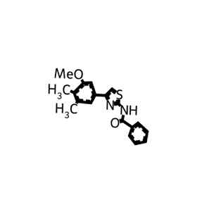 COc1cc(-c2csc(NC(=O)c3ccccc3)n2)cc(C)c1C